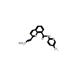 CCOC(=O)/C=C/c1ccc2cccc(C(=O)Nc3ccc(C(F)(F)F)cn3)c2n1